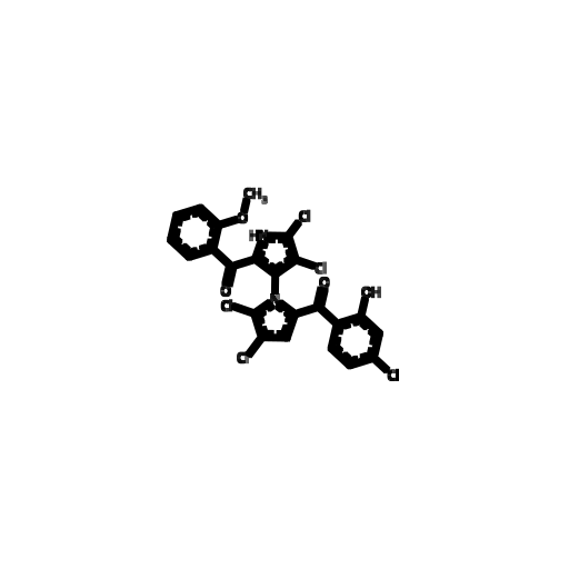 COc1ccccc1C(=O)c1[nH]c(Cl)c(Cl)c1-n1c(C(=O)c2ccc(Cl)cc2O)cc(Cl)c1Cl